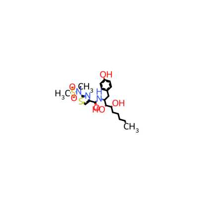 CCCCCC(O)C(O)C(Cc1ccc(O)cc1)NC(=O)c1csc(N(C)S(C)(=O)=O)n1